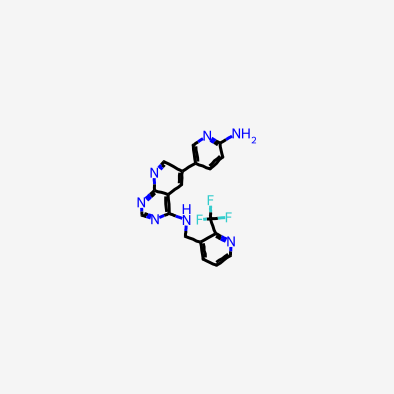 Nc1ccc(-c2cnc3ncnc(NCc4cccnc4C(F)(F)F)c3c2)cn1